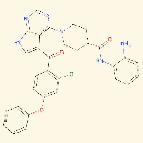 Nc1ccccc1NC(=O)C1CCN(c2ncnc3[nH]cc(C(=O)c4ccc(Oc5ccccc5)cc4Cl)c23)CC1